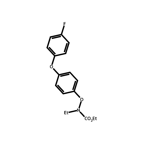 CCOC(=O)N(CC)Oc1ccc(Oc2ccc(F)cc2)cc1